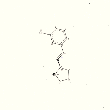 Clc1cccc(/C=C/[C@H]2CCCN2)c1